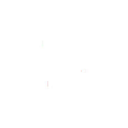 O[C]1OCCC1Cl